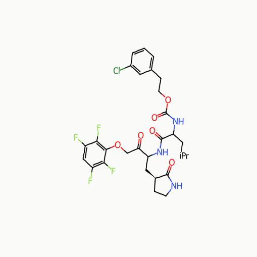 CC(C)CC(NC(=O)OCCc1cccc(Cl)c1)C(=O)NC(C[C@@H]1CCNC1=O)C(=O)COc1c(F)c(F)cc(F)c1F